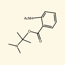 CC(=O)Nc1ccccc1C(=O)OC(C)(C)N(C)C